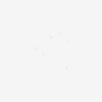 OCCNc1cc(-c2cc(Nc3ccc(OC(F)(F)F)cc3)ncn2)ccn1